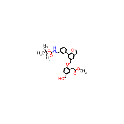 COC(=O)Cc1cc(CO)ccc1OCc1cc(-c2cccc(CNC(=O)OC(C)(C)C)c2)c2occc2c1